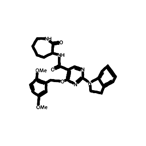 COc1ccc(OC)c(COc2nc(N3CCc4ccccc43)ncc2C(=O)NC2CCCCNC2=O)c1